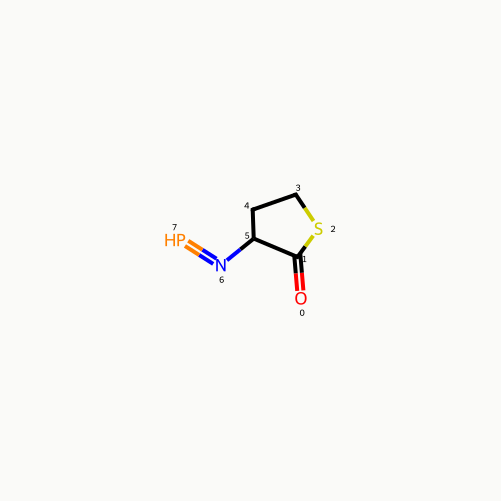 O=C1SCCC1N=P